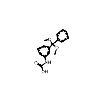 COC(OC)(c1ccccc1)c1cccc(NC(=O)O)c1